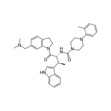 Cc1ccccc1N1CCN(C(=O)N[C@@H](C(=O)N2CCc3ccc(CN(C)C)cc32)[C@@H](C)c2c[nH]c3ccccc23)CC1